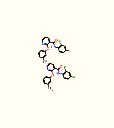 O=C(Nc1ccc(F)cc1F)c1cccnc1Oc1cccc(C(F)(F)F)c1.O=C(Nc1ccc(F)cc1F)c1cccnc1Oc1cccc(C(F)(F)F)c1